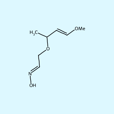 COC=CC(C)OCC=NO